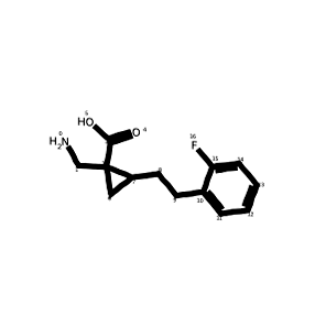 NCC1(C(=O)O)CC1CCc1ccccc1F